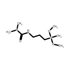 CO[Si](C)(CCCNC(=O)N(C)C)OC